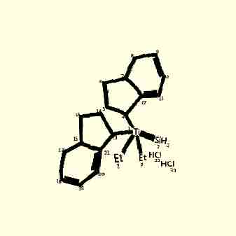 C[CH2][Ti](=[SiH2])([CH2]C)([CH]1CCC2CC=CC=C21)[CH]1CCC2CC=CC=C21.Cl.Cl